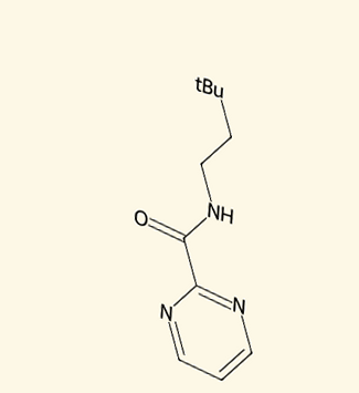 CC(C)(C)CCNC(=O)c1ncccn1